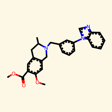 COC(=O)c1cc2c(cc1OC)CN(Cc1cccc(-n3cnc4ccccc43)c1)C(C)C2